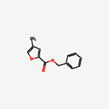 Cc1coc(C(=O)OCc2ccccc2)c1